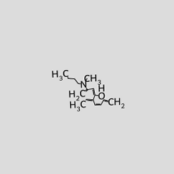 C=C\C=C/C(=C\C)C(/O)=C\C(=C)N(C)CCCC